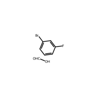 Fc1cccc(Br)c1.O=CO